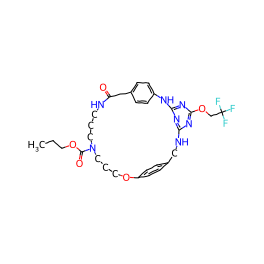 CCCOC(=O)N1CCCNC(=O)c2ccc(cc2)Nc2nc(nc(OCC(F)(F)F)n2)NCc2ccc(cc2)OCCC1